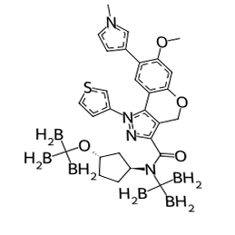 BC(B)(B)O[C@H]1CC[C@H](N(C(=O)c2nn(-c3ccsc3)c3c2COc2cc(OC)c(-c4ccn(C)c4)cc2-3)C(B)(B)B)C1